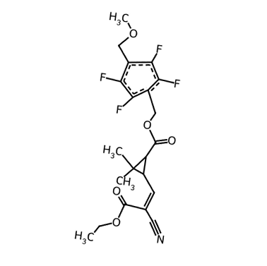 CCOC(=O)C(C#N)=CC1C(C(=O)OCc2c(F)c(F)c(COC)c(F)c2F)C1(C)C